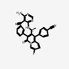 C[C@H](Nc1ncnc(N)c1C#N)c1c(-c2ccccc2)c(=O)n2cc(F)ccc2c1-c1ccc(C#N)cc1